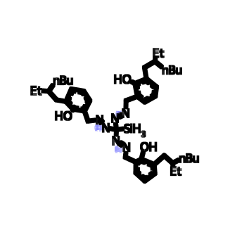 CCCCC(CC)Cc1cccc(C/N=N/C([SiH3])(/N=N/Cc2cccc(CC(CC)CCCC)c2O)/N=N/Cc2cccc(CC(CC)CCCC)c2O)c1O